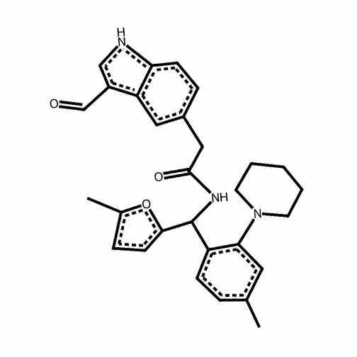 Cc1ccc(C(NC(=O)Cc2ccc3[nH]cc(C=O)c3c2)c2ccc(C)o2)c(N2CCCCC2)c1